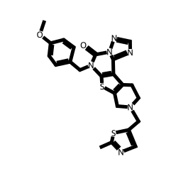 COc1ccc(Cn2c(=O)n3ncnc3c3c4c(sc32)CN(Cc2cnc(C)s2)CC4)cc1